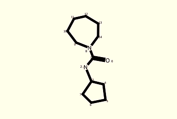 O=C([N]C1CCCC1)N1CCCCCC1